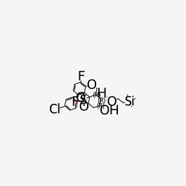 C[Si](C)(C)CCOC[C@@H]1[C@H](O)CCC2(S(=O)(=O)c3ccc(Cl)cc3)c3c(F)ccc(F)c3OC[C@@H]12